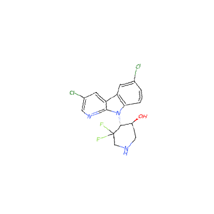 O[C@H]1CNCC(F)(F)[C@@H]1n1c2ccc(Cl)cc2c2cc(Cl)cnc21